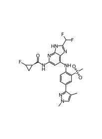 Cc1cn(C)nc1-c1ccc(Nc2cc(NC(=O)[C@H]3CC3F)nc3[nH]c(C(F)F)nc23)c(S(C)(=O)=O)c1